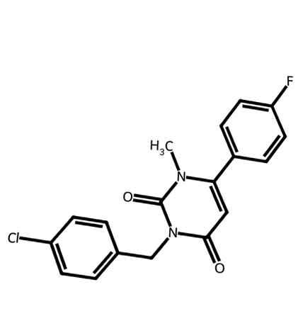 Cn1c(-c2ccc(F)cc2)cc(=O)n(Cc2ccc(Cl)cc2)c1=O